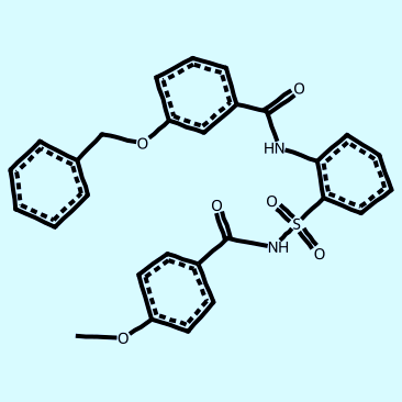 COc1ccc(C(=O)NS(=O)(=O)c2ccccc2NC(=O)c2cccc(OCc3ccccc3)c2)cc1